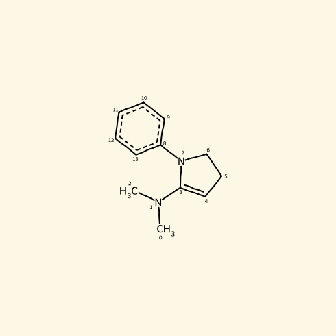 CN(C)C1=CCCN1c1ccccc1